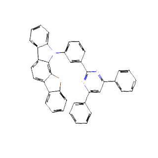 c1ccc(-c2cc(-c3ccccc3)nc(-c3cccc(-n4c5ccccc5c5ccc6c7ccccc7sc6c54)c3)n2)cc1